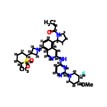 C=CC(=O)N1CCC[C@H]1c1ccc(N2CC([C@@H]3CCC[C@H](C)S3(=O)=O)C2)c2cnc(Nc3ccnc(N4CC[C@@H](OC)[C@@H](F)C4)n3)cc12